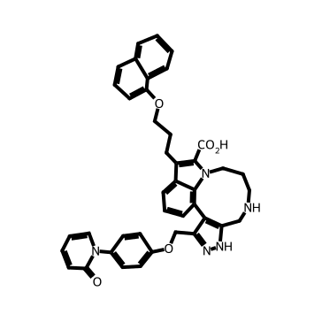 O=C(O)c1c(CCCOc2cccc3ccccc23)c2cccc3c2n1CCCNCc1[nH]nc(COc2ccc(-n4ccccc4=O)cc2)c1-3